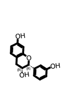 Oc1cccc([C@H]2Oc3cc(O)ccc3C[C@H]2O)c1